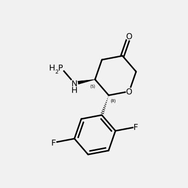 O=C1CO[C@H](c2cc(F)ccc2F)[C@@H](NP)C1